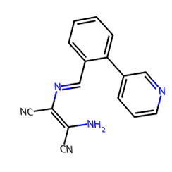 N#CC(N)=C(C#N)N=Cc1ccccc1-c1cccnc1